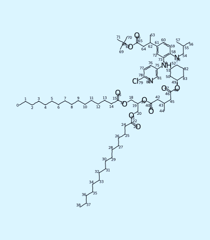 CCCCCCCCCCCCCCCC(=O)OCC(COC(=O)CCCCCCCCCCCCCCC)OC(=O)CC(C)CC(=O)O[C@H]1CC[C@H](N(CC(C)C)c2ccc(C(C)CC(=O)OC(C)(C)C)cc2Nc2ccc(Cl)nc2)CC1